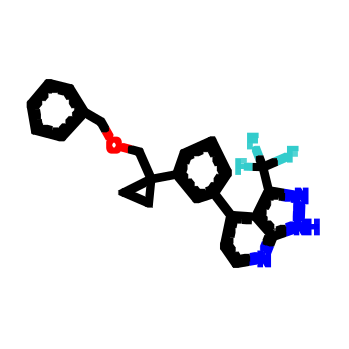 FC(F)(F)c1n[nH]c2nccc(-c3cccc(C4(COCc5ccccc5)CC4)c3)c12